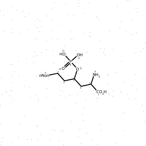 CCCCCCCCCCCC(CC(N)C(=O)O)OP(=O)(O)O